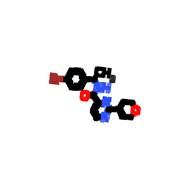 C[C@@H](NC(=O)c1ccnc(C2=CCOCC2)n1)c1ccc(Br)cc1